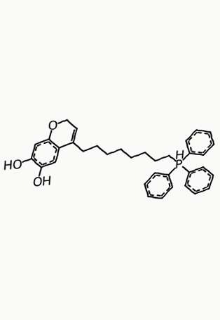 Oc1cc2c(cc1O)C(CCCCCCCC[PH](c1ccccc1)(c1ccccc1)c1ccccc1)=CCO2